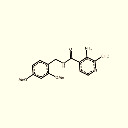 COc1ccc(CNC(=O)c2ccnc(C=O)c2N)c(OC)c1